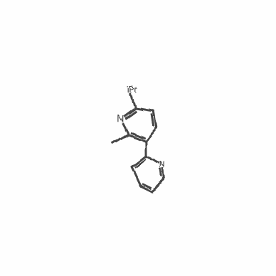 Cc1nc(C(C)C)ccc1-c1ccccn1